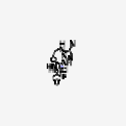 N#Cc1cnc2nc1NCCCOC(=N)/C(=C(/Cl)NC1CCOCC1(F)F)N2